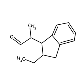 CCC1Cc2ccccc2C1C(C)C=O